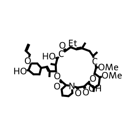 C=CCOC1CC(C=C(C)C2OC(=O)C3CCCCN3C(=O)C(=O)C3(O)OC(C(OC)CC(C)C/C(C)=C/C(CC)C(=O)CC(O)C2C)C(OC)CC3C)CCC1O